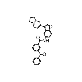 O=C(Nc1ccc2occ(C3=CCN4CCCC4C3)c2c1)c1cccc(C(=O)c2ccccc2)c1